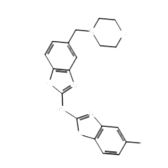 Fc1ccc2oc(Nc3nc4cc(CN5CCOCC5)ccc4o3)nc2c1